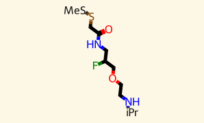 CSSCC(=O)NCC(F)COCCNC(C)C